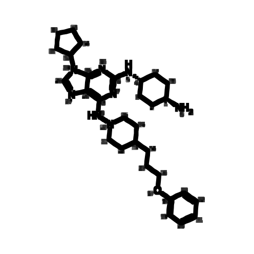 N[C@H]1CC[C@H](Nc2nc(NN3CCC(CCCOc4ccccc4)CC3)c3ncn(C4CCCC4)c3n2)CC1